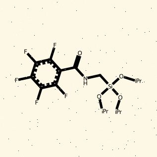 CC(C)O[Si](CNC(=O)c1c(F)c(F)c(F)c(F)c1F)(OC(C)C)OC(C)C